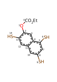 CCOC(=O)Oc1cc2c(S)cc(S)cc2cc1S